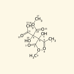 COC(=O)C(O)(C(C)=O)C(O)(C(C)=O)C(=O)OC